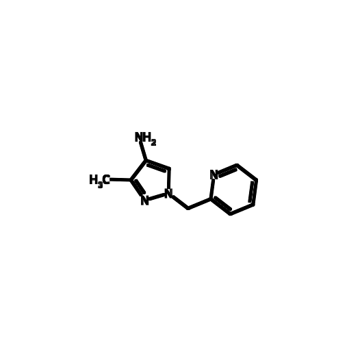 Cc1nn(Cc2ccccn2)cc1N